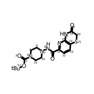 CC(C)(C)OC(=O)N1CCN(NC(=O)c2ccc3c(n2)NC(=O)CS3)CC1